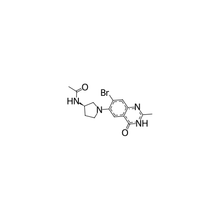 CC(=O)N[C@@H]1CCN(c2cc3c(=O)[nH]c(C)nc3cc2Br)C1